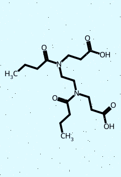 CCCC(=O)N(CCC(=O)O)CCN(CCC(=O)O)C(=O)CCC